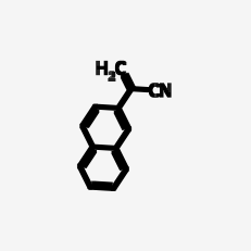 C=C(C#N)c1ccc2ccccc2c1